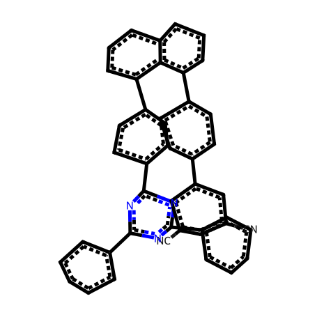 N#Cc1cc(C#N)cc(-c2ccc(-c3cccc4cccc(-c5ccc(-c6nc(-c7ccccc7)nc(-c7ccccc7)n6)cc5)c34)cc2)c1